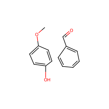 COc1ccc(O)cc1.O=Cc1ccccc1